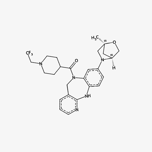 C[C@@]12C[C@@H](CO1)N(c1ccc3c(c1)N(C(=O)C1CCN(CC(F)(F)F)CC1)Cc1cccnc1N3)C2